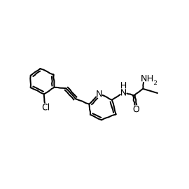 CC(N)C(=O)Nc1cccc(C#Cc2ccccc2Cl)n1